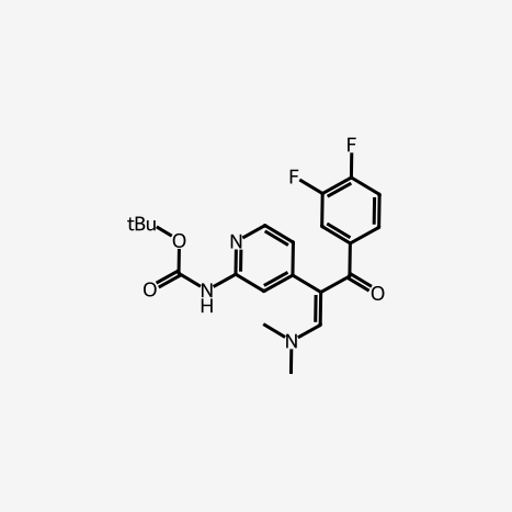 CN(C)C=C(C(=O)c1ccc(F)c(F)c1)c1ccnc(NC(=O)OC(C)(C)C)c1